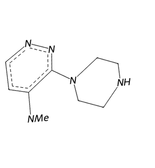 CNc1ccnnc1N1CCNCC1